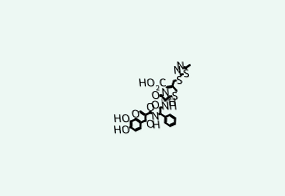 Cc1nnc(SCC2=C(C(=O)O)N3C(=O)[C@@H](NC(=O)C(NC(=O)c4coc5c(O)c(O)ccc5c4=O)c4ccccc4)[C@@H]3SC2)s1